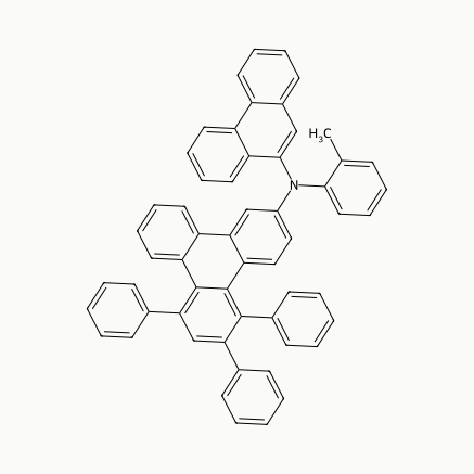 Cc1ccccc1N(c1ccc2c(c1)c1ccccc1c1c(-c3ccccc3)cc(-c3ccccc3)c(-c3ccccc3)c21)c1cc2ccccc2c2ccccc12